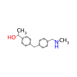 CNCc1ccc(Cc2ccc(C(C)O)cc2)cc1